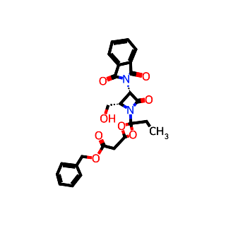 CCC1(N2C(=O)[C@@H](N3C(=O)c4ccccc4C3=O)[C@H]2CO)OC(CC(=O)OCc2ccccc2)O1